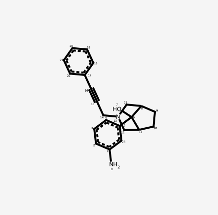 Nc1cccc(C2(O)C3CCC2CN(CC#Cc2ccccc2)C3)c1